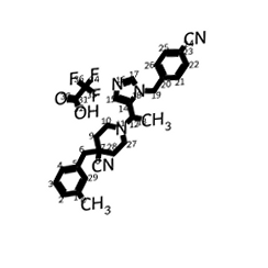 Cc1cccc(CC2(C#N)CCN(C(C)c3cncn3Cc3ccc(C#N)cc3)CC2)c1.O=C(O)C(F)(F)F